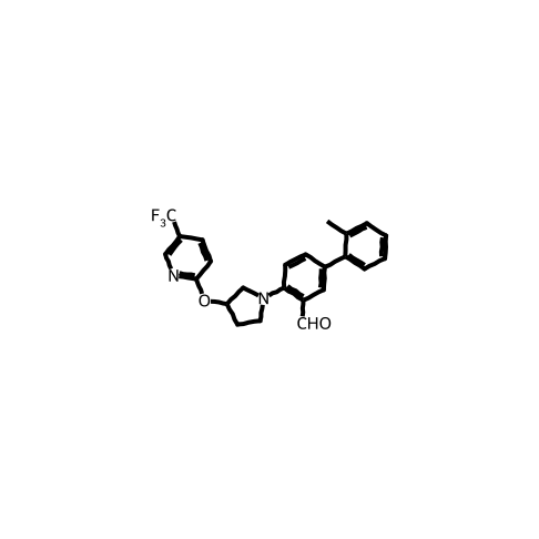 Cc1ccccc1-c1ccc(N2CCC(Oc3ccc(C(F)(F)F)cn3)C2)c(C=O)c1